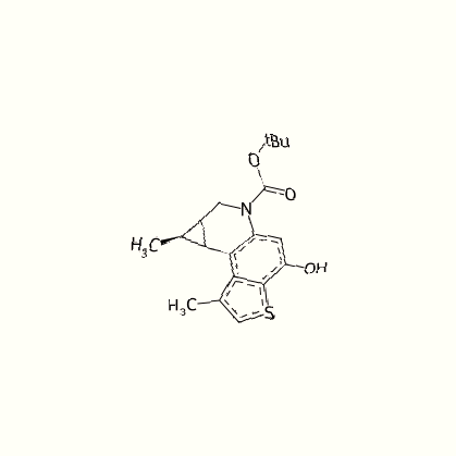 Cc1csc2c(O)cc3c(c12)C1C(CN3C(=O)OC(C)(C)C)[C@@H]1C